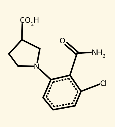 NC(=O)c1c(Cl)cccc1N1CCC(C(=O)O)C1